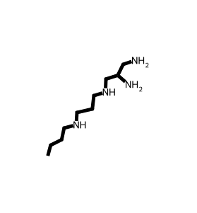 CCCCNCCCNCC(N)CN